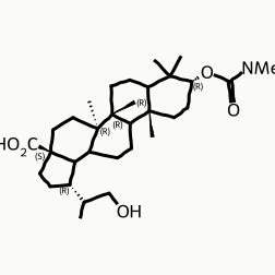 CNC(=O)O[C@@H]1CC[C@@]2(C)C(CC[C@]3(C)C2CCC2C4[C@H](C(C)CO)CC[C@]4(C(=O)O)CC[C@]23C)C1(C)C